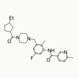 CCC1CCC(C(=O)N2CCN(Cc3cc(F)cc(NC(=O)c4ccc(C)nc4)c3C)CC2)C1